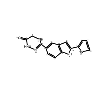 O=C1CNC(c2ccc3[nH]c(-c4ccc[nH]4)cc3c2)=NN1